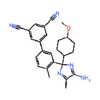 COC1CCC(C2(c3cc(-c4cc(C#N)cc(C#N)c4)ccc3C)N=C(C)C(N)=N2)CC1